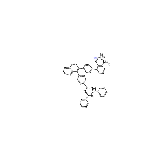 C/C=C\c1c(N)cccc1-c1ccc(-c2ccc3ccccc3c2-c2ccc(C3N=C(c4ccccc4)N=C(c4ccccc4)N3)cc2)cc1